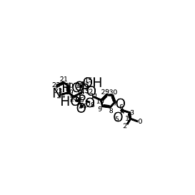 CC(C)=CC(=O)Oc1ccc(C2OP(=O)(O)C(O)(Cc3cccnc3)P(=O)(O)O2)cc1